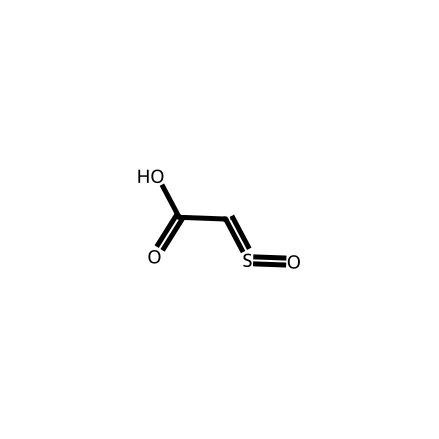 O=S=[C]C(=O)O